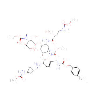 CN(C(=O)OC(C)(C)C)[C@@H]1[C@@H](O)[C@@H](O[C@@H]2[C@@H](O)[C@H](O[C@H]3OC(CNC(=O)OCc4ccc([N+](=O)[O-])cc4)=CC[C@H]3NC[C@H]3C[C@H](NC(=O)OC(C)(C)C)C3)[C@@H](NC(=O)OC(C)(C)C)C[C@H]2NC(=O)[C@@H](O)CCNC(=O)OC(C)(C)C)OC[C@]1(C)O